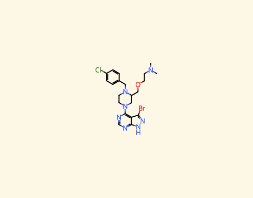 CN(C)CCOCC1CN(c2ncnc3[nH]nc(Br)c23)CCN1Cc1ccc(Cl)cc1